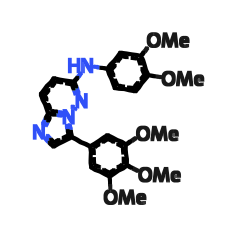 COc1ccc(Nc2ccc3ncc(-c4cc(OC)c(OC)c(OC)c4)n3n2)cc1OC